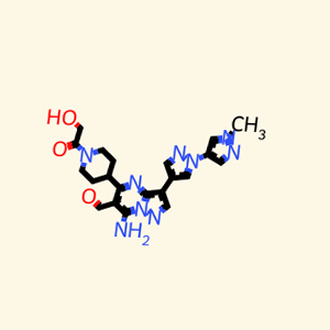 Cn1cc(-n2cc(-c3cnn4c(N)c(C=O)c(C5CCN(C(=O)CO)CC5)nc34)cn2)cn1